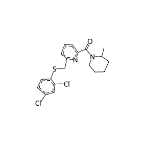 CC1CCCCN1C(=O)c1cccc(CSc2ccc(Cl)cc2Cl)n1